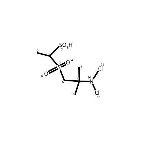 CC(S(=O)(=O)O)S(=O)(=O)CC(C)(C)N(Cl)Cl